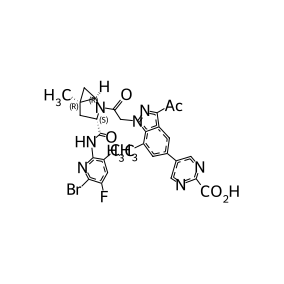 CC(=O)c1nn(CC(=O)N2[C@H](C(=O)Nc3nc(Br)c(F)cc3C)C[C@@]3(C)C[C@@H]23)c2c(C)cc(-c3cnc(C(=O)O)nc3)cc12